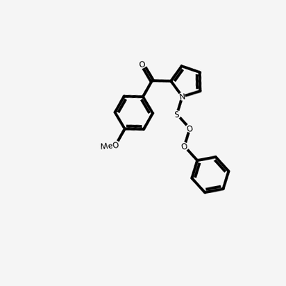 COc1ccc(C(=O)c2cccn2SOOc2ccccc2)cc1